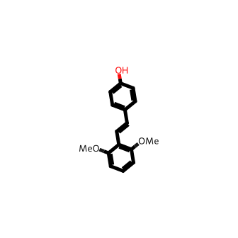 COc1cccc(OC)c1C=Cc1ccc(O)cc1